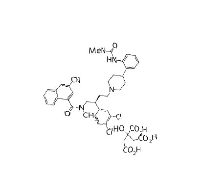 CNC(=O)Nc1ccccc1C1CCN(CC[C@H](CN(C)C(=O)c2cc(C#N)cc3ccccc23)c2ccc(Cl)c(Cl)c2)CC1.O=C(O)CC(O)(CC(=O)O)C(=O)O